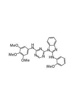 COc1ccccc1Nc1nc2ccccc2n1-c1ncnc(Nc2cc(OC)c(OC)c(OC)c2)n1